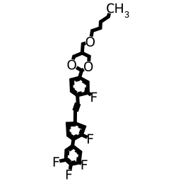 CCCCCOCC1COC(c2ccc(C#Cc3ccc(-c4cc(F)c(F)c(F)c4)c(F)c3)c(F)c2)OC1